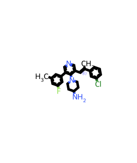 C/C(=C\c1cncc(-c2cc(C)cc(F)c2)c1N1CCC(N)CC1)c1cccc(Cl)c1